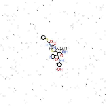 O=C(CC(C(=C1CCNC1=O)C1=C(C(=O)O)N2C(=O)[C@@H](NC(=O)CSc3ccccc3)[C@H]2SC1)c1ccncc1)Nc1ccc(O)cc1